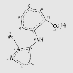 CC(C)n1nccc1Nc1ccccc1C(=O)O